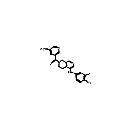 Nc1cncc(C(=O)N2CCc3c(cccc3Nc3ccc(C(F)(F)F)c(F)c3)C2)c1